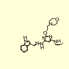 C/C=C\Nc1cc(N/N=C/c2c[nH]c3ccccc23)nc(OCCN2CCOCC2)n1